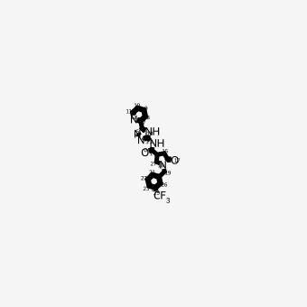 O=C(Nc1nnc(-c2ccccn2)[nH]1)C1CC(=O)N(Cc2cccc(C(F)(F)F)c2)C1